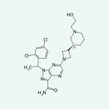 CC(c1ccc(Cl)cc1Cl)n1nc(C(N)=O)c2ncc(N3CC([C@@H]4CCCN(CCO)C4)C3)nc21